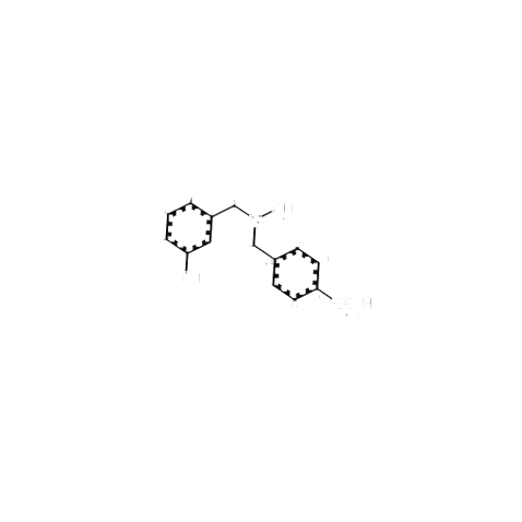 Cc1cccc(CN(C)Cc2ccc(C(=O)O)cc2)c1